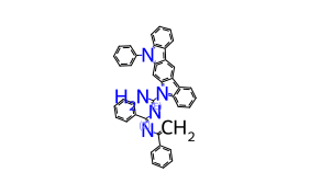 C=C(/N=C(\N=C(/N)n1c2ccccc2c2cc3c4ccccc4n(-c4ccccc4)c3cc21)c1ccccc1)c1ccccc1